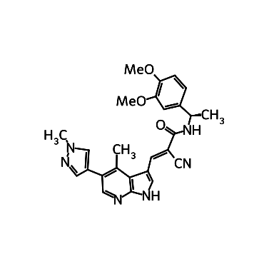 COc1ccc([C@@H](C)NC(=O)/C(C#N)=C/c2c[nH]c3ncc(-c4cnn(C)c4)c(C)c23)cc1OC